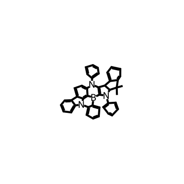 CC1(C)c2ccccc2C2C3=C(B4c5ccccc5-n5c6ccccc6c6ccc(c4c65)N3c3ccccc3)N(c3ccccc3)C21